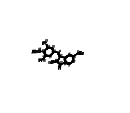 CCCCc1ccc2c(c1)C(=Cc1cc(C(C)C)c(OC)c(C(C)C)c1)C(=O)N2